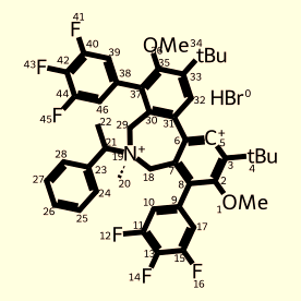 Br.COC1=C(C(C)(C)C)[C+]=C2C(=C1c1cc(F)c(F)c(F)c1)C[N@@+](C)(C(C)c1ccccc1)Cc1c2cc(C(C)(C)C)c(OC)c1-c1cc(F)c(F)c(F)c1